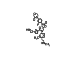 Br.CNCCC(=O)N(C)CC(=O)N(C[C@H]1CN(c2ccc(N3CCOCC3=O)cc2F)C(=O)O1)C(=O)c1ccc(Cl)s1